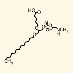 CCCCCCCCCCCCCOCC(COP(=O)(O)OCCNC)OCCCCC(=O)O